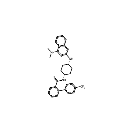 CN(C)c1nc(N[C@H]2CC[C@@H](NC(=O)c3ccccc3-c3ccc(C(F)(F)F)cc3)CC2)nc2ccccc12